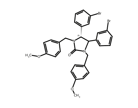 COc1ccc(CN2C(=O)N(Cc3ccc(OC)cc3)[C@H](c3cccc(Br)c3)C2c2cccc(Br)c2)cc1